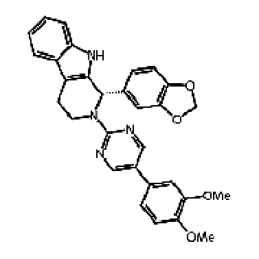 COc1ccc(-c2cnc(N3CCc4c([nH]c5ccccc45)[C@@H]3c3ccc4c(c3)OCO4)nc2)cc1OC